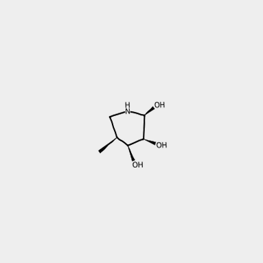 C[C@H]1CN[C@@H](O)[C@@H](O)[C@H]1O